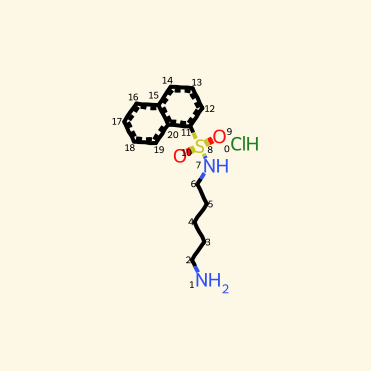 Cl.NCCCCCNS(=O)(=O)c1cccc2ccccc12